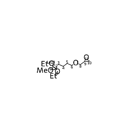 CCO[Si](CCCCOCC1CO1)(OC)OCC